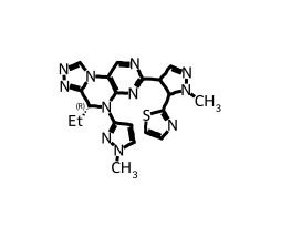 CC[C@@H]1c2nncn2-c2cnc(C3C=NN(C)C3c3nccs3)nc2N1c1ccn(C)n1